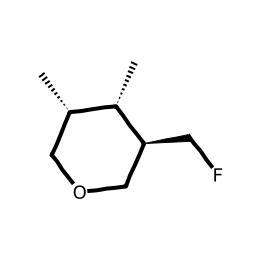 C[C@@H]1[C@@H](CF)COC[C@@H]1C